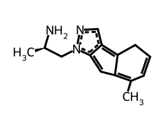 CC1=C2C=c3c(cnn3C[C@@H](C)N)=C2CC=C1